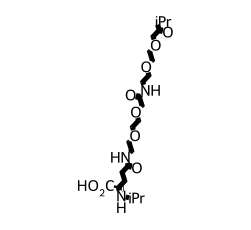 CC(C)N[C@H](CCC(=O)NCCOCCOCC(=O)NCCOCCOCC(=O)C(C)C)C(=O)O